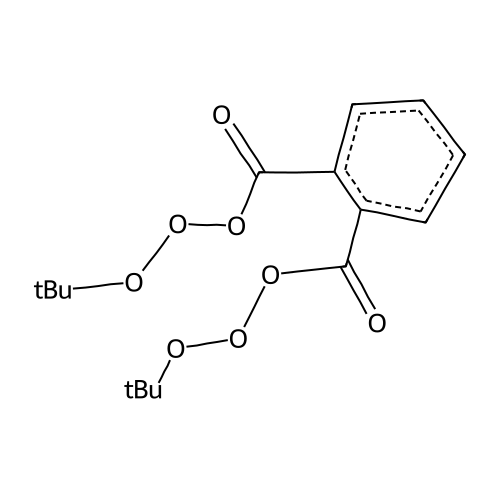 CC(C)(C)OOOC(=O)c1ccccc1C(=O)OOOC(C)(C)C